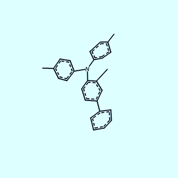 Cc1ccc(N(c2ccc(C)cc2)c2ccc(-c3ccccc3)cc2C)cc1